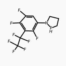 Fc1cc(N2CCCP2)c(F)c(C(F)(F)C(F)(F)F)c1F